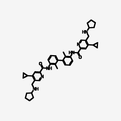 Cc1c(NC(=O)c2cc(C3CC3)c(CNC3CCCC3)cn2)cccc1-c1cccc(NC(=O)c2cc(C3CC3)c(CNC3CCCC3)cn2)c1C